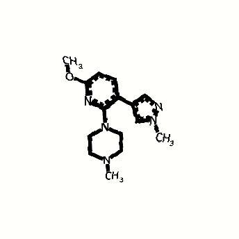 COc1ccc(-c2cnn(C)c2)c(N2CCN(C)CC2)n1